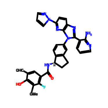 COc1c(O)c(C=O)cc(C(=O)N[C@H]2CCc3cc(-n4c(-c5cccnc5N)nc5ccc(-n6cccn6)nc54)ccc32)c1F